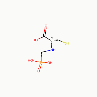 O=C(O)[C@H](CS)NCP(=O)(O)O